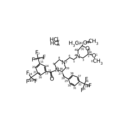 CO[C@H]1CN(CCN2CCN(C(=O)c3cc(C(F)(F)F)cc(C(F)(F)F)c3)[C@H](Cc3ccc(C(F)(F)F)cc3)C2)C[C@@](C)(OC)O1.Cl.Cl